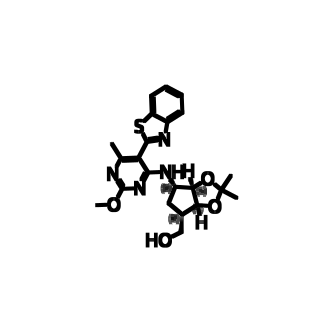 COc1nc(C)c(-c2nc3ccccc3s2)c(N[C@@H]2C[C@H](CO)[C@H]3OC(C)(C)O[C@H]32)n1